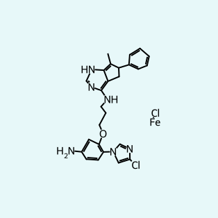 CC1=C2NC=NC(NCCCOc3cc(N)ccc3-n3cnc(Cl)c3)=C2CC1c1ccccc1.[Cl][Fe]